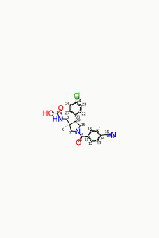 C[C@@]1(CNC(=O)O)CN(C(=O)c2ccc(C#N)cc2)C[C@H]1c1ccc(Cl)cc1